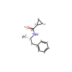 CC(C)[C@@H](Cc1ccccc1)NC(=O)C1CC1